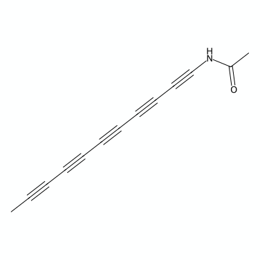 CC#CC#CC#CC#CC#CNC(C)=O